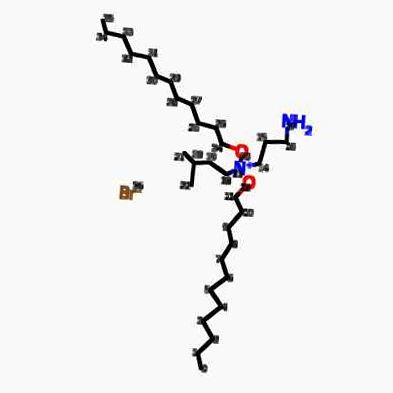 CCCCCCCCCCCCO[N+](CCCN)(CCC(C)C)OCCCCCCCCCCCC.[Br-]